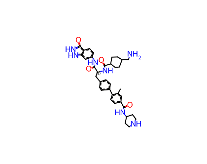 Cc1cc(C(=O)NC2CCNCC2)ccc1-c1ccc(C[C@H](NC(=O)C2CCC(CN)CC2)C(=O)Nc2ccc3c(=O)[nH][nH]c3c2)cc1